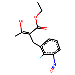 CCOC(=O)/C(Cc1cccc(N=O)c1F)=C(/C)O